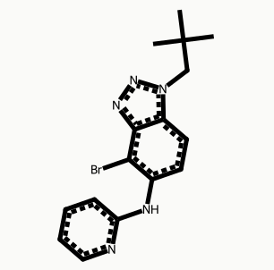 CC(C)(C)Cn1nnc2c(Br)c(Nc3ccccn3)ccc21